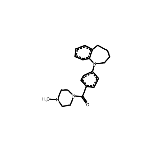 CN1CCN(C(=O)c2ccc(N3CCCCc4ccccc43)cc2)CC1